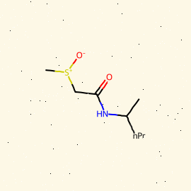 CCCC(C)NC(=O)C[S+](C)[O-]